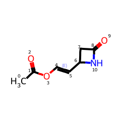 CC(=O)O/C=C/C1CC(=O)N1